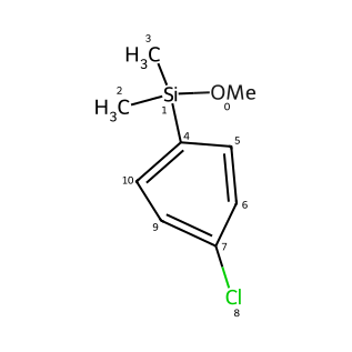 CO[Si](C)(C)c1ccc(Cl)cc1